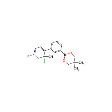 CC1(C)COB(c2cccc(C3=CC=C(F)CC3(F)C#N)c2)OC1